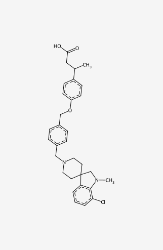 CC(CC(=O)O)c1ccc(OCc2ccc(CN3CCC4(CC3)CN(C)c3c(Cl)cccc34)cc2)cc1